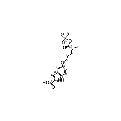 CN(CCCOc1ccc2[nH]c(C(=O)O)cc2c1)C(=O)OC(C)(C)C